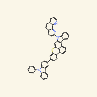 c1ccc(-n2c3ccccc3c3cc(-c4ccc5c(c4)Sc4cc6c(c7cccc-5c47)c4ccccc4n6-c4ccc5ccc6cccnc6c5n4)ccc32)cc1